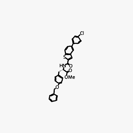 COC(=O)[C@H](Cc1ccc(OCc2ccccc2)cc1)NC(=O)c1cc2cc(-c3ccc(Cl)cc3)ccc2s1